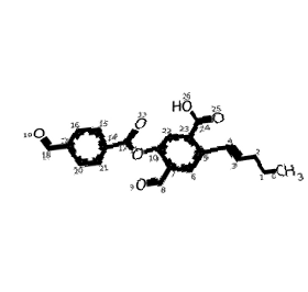 CCC/C=C/c1cc(C=O)c(OC(=O)c2ccc(C=O)cc2)cc1C(=O)O